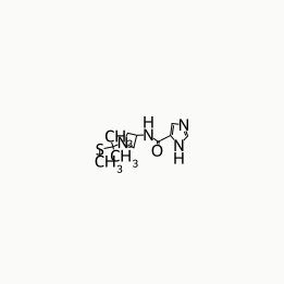 CSC(C)(C)N1CC(NC(=O)c2cnc[nH]2)C1